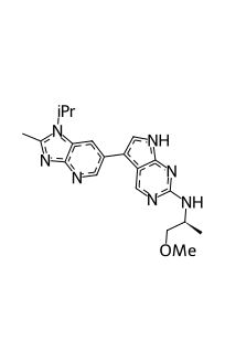 COC[C@H](C)Nc1ncc2c(-c3cnc4nc(C)n(C(C)C)c4c3)c[nH]c2n1